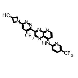 OC1CN(c2cc(C(F)(F)F)c(-c3cnc4c(Nc5ccc(C(F)(F)F)cn5)ccnc4n3)nn2)C1